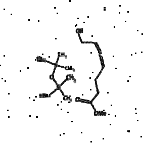 CC(C)(C)[Si](C)(C)O[Si](C)(C)C(C)(C)C.COC(=O)CCC=C=CCO